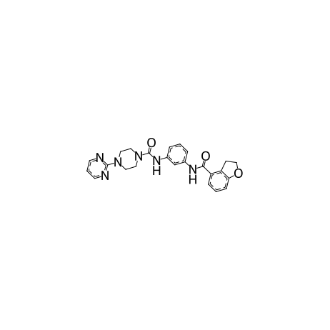 O=C(Nc1cccc(NC(=O)N2CCN(c3ncccn3)CC2)c1)c1cccc2c1CCO2